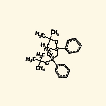 CC(C)(C)O[Si](C)(C[Si](C)(OC(C)(C)C)c1ccccc1)c1ccccc1